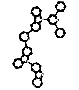 c1ccc(-c2cc(-n3c4ccccc4c4cc(-c5cccc(-c6ccc7c(c6)c6ccccc6n7-c6ccc7sc8ccncc8c7c6)n5)ccc43)cc(-c3ccccc3)n2)cc1